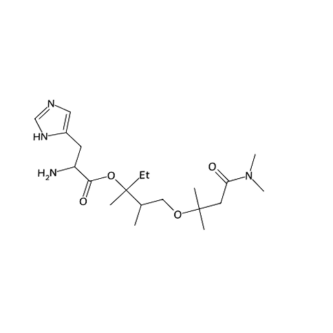 CCC(C)(OC(=O)C(N)Cc1cnc[nH]1)C(C)COC(C)(C)CC(=O)N(C)C